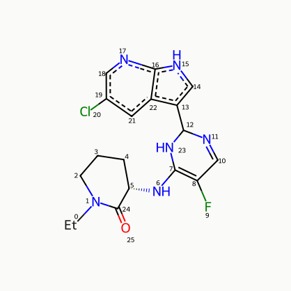 CCN1CCC[C@H](NC2=C(F)C=NC(c3c[nH]c4ncc(Cl)cc34)N2)C1=O